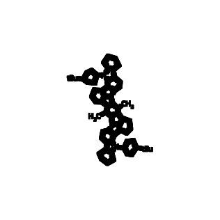 Cc1c2c3cccc4c5c6c(ccc5n(c2c(C)c2c5cccc7c8c9c(ccc8n(c12)c57)c1ccccc1n9-c1ccc(C(C)(C)C)cc1)c34)c1ccccc1n6-c1ccc(C(C)(C)C)cc1